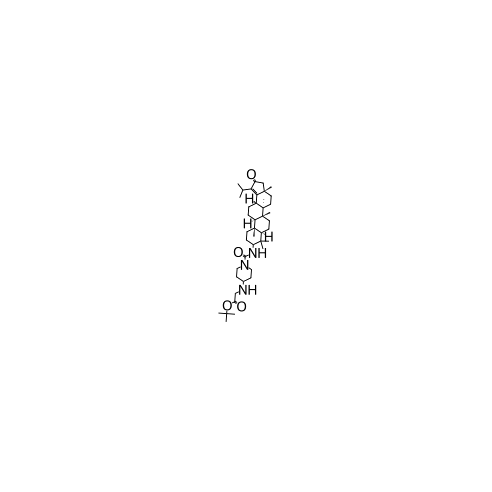 CC(C)C1=C2[C@H]3CC[C@@H]4[C@@]5(C)CCC(NC(=O)N6CCC(NCC(=O)OC(C)(C)C)CC6)C(C)(C)[C@@H]5CC[C@@]4(C)[C@]3(C)CC[C@@]2(C)CC1=O